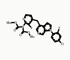 CC(C)(C)OC(=O)N(C(=O)OC(C)(C)C)c1nccc(Cc2cncc3c2ccn3-c2ccc(Cl)cc2F)c1F